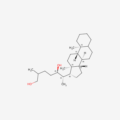 CC(CO)CC[C@@H](O)[C@@H](C)[C@H]1CC[C@H]2[C@@H]3CCC4CCCC[C@]4(C)[C@H]3CC[C@]12C